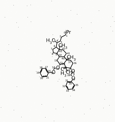 CC(C)CCCC(C)C1CCC2C3CC(OCOc4ccccc4)C4C(C)(C)C(OCOc5ccccc5)CCC4(C)C3CCC12C